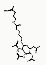 CC(=N)CCCNC(=O)CCCCOC1OC(CC(C)=O)C(OC(C)=O)[C@H](OC(C)=O)C1NC(C)=O